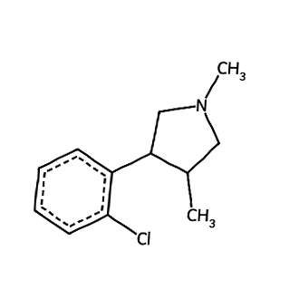 CC1CN(C)CC1c1ccccc1Cl